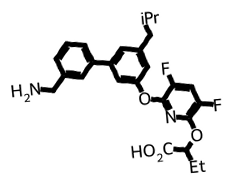 CCC(Oc1nc(Oc2cc(CC(C)C)cc(-c3cccc(CN)c3)c2)c(F)cc1F)C(=O)O